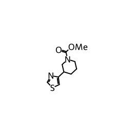 COC(=O)N1CCCC(c2cscn2)C1